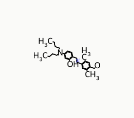 CCCCN(CCCC)c1ccc(/C=C/c2cc(C)c(C=O)cc2C)c(O)c1